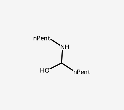 CCCCCNC(O)CCCCC